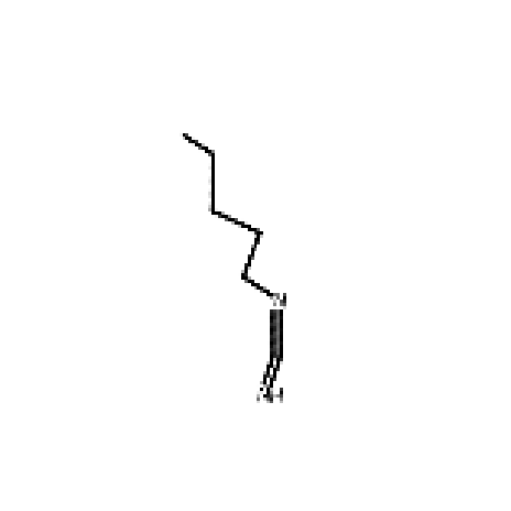 CCCCCN=C=N